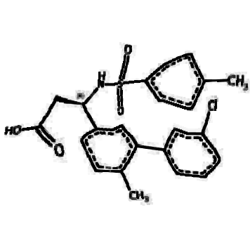 Cc1ccc(S(=O)(=O)N[C@H](CC(=O)O)c2ccc(C)c(-c3cccc(Cl)c3)c2)cc1